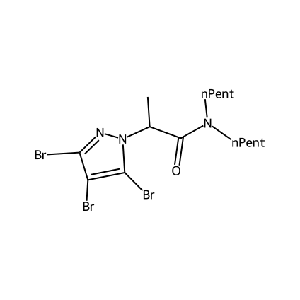 CCCCCN(CCCCC)C(=O)C(C)n1nc(Br)c(Br)c1Br